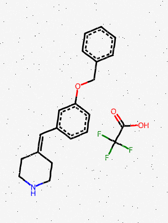 C(=C1CCNCC1)c1cccc(OCc2ccccc2)c1.O=C(O)C(F)(F)F